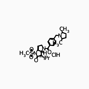 CC(C)[C@H]1C(=O)N(S(C)(=O)=O)C2=CCN(C(=O)c3ccc(CN4C(C)CCC4C)cc3)[C@@H]21.Cl